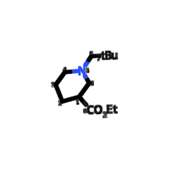 CCOC(=O)C1CCCN(CC(C)(C)C)C1